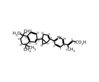 CC(=CC(=O)O)c1ccc(C2=CCC3(c4ccc5c(c4)C(C)(C)CCC5(C)C)CC23)nc1